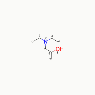 CCN(CC)CC(C)O